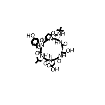 CC(C)C[C@@H]1NC(=O)[C@H](Cc2ccc(O)cc2)NC(=O)[C@@H]2CCCN2[C@H](C(=O)NC(C)(C)C)[C@H](C)NC(=O)C[C@H]([C@@H](C)O)NC(=O)[C@H](CC(=O)O)NC1=O